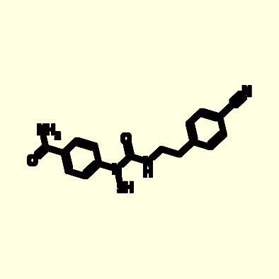 N#Cc1ccc(CCNC(=O)N(S)c2ccc(C(N)=O)cc2)cc1